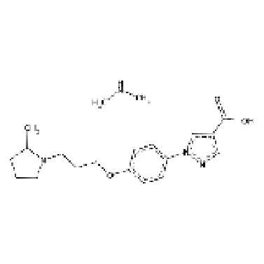 CC1CCCN1CCCOc1ccc(-n2cc(C(=O)O)cn2)cc1.CNC